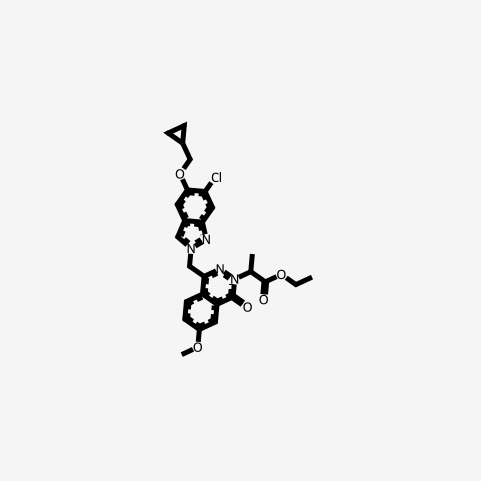 CCOC(=O)C(C)n1nc(Cn2cc3cc(OCC4CC4)c(Cl)cc3n2)c2ccc(OC)cc2c1=O